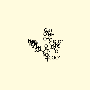 CC(C)(O/N=C(\C(=O)N[C@H]1C(=O)N(S(=O)(=O)[O-])[C@H]1COC(=O)NS(=O)(=O)[O-])c1csc(N)n1)C(=O)[O-].[Na+].[Na+].[Na+]